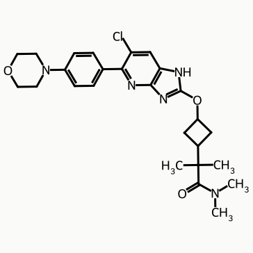 CN(C)C(=O)C(C)(C)C1CC(Oc2nc3nc(-c4ccc(N5CCOCC5)cc4)c(Cl)cc3[nH]2)C1